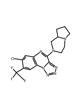 FC(F)(F)c1cc2c(cc1Cl)nc(N1CCN3CCCC3C1)c1nnnn12